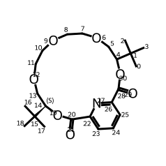 CC(C)(C)C1COCCOCCOC[C@H](C(C)(C)C)OC(=O)c2cccc(n2)C(=O)O1